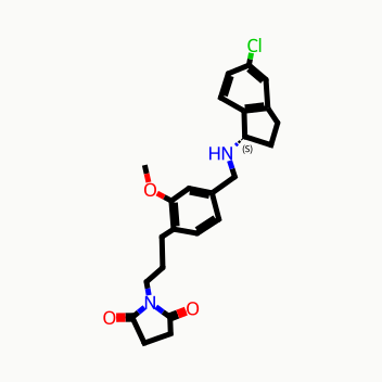 COc1cc(CN[C@H]2CCc3cc(Cl)ccc32)ccc1CCCN1C(=O)CCC1=O